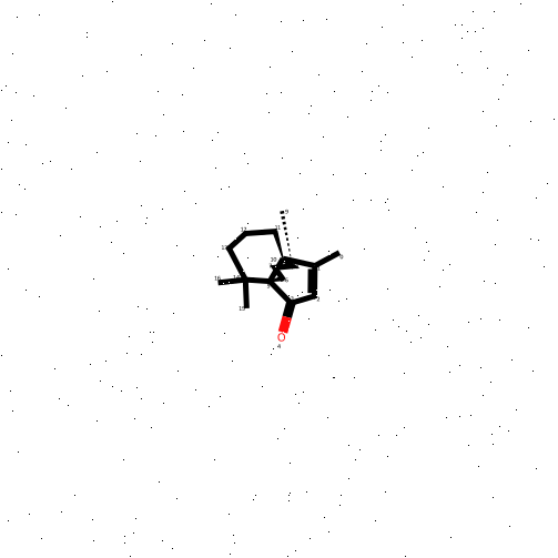 CC1=CC(=O)[C@@]23CC[C@@H](C)[C@@]12CCCC3(C)C